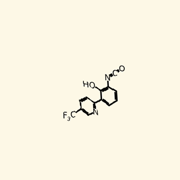 O=C=Nc1cccc(-c2ccc(C(F)(F)F)cn2)c1O